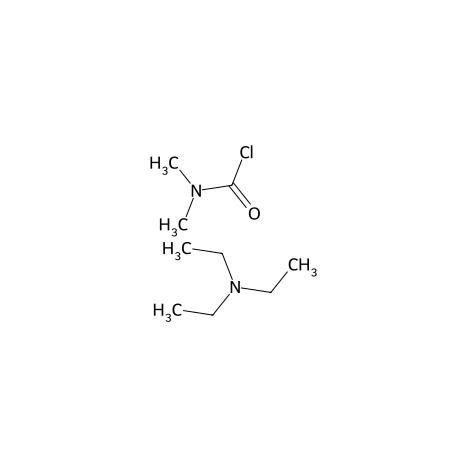 CCN(CC)CC.CN(C)C(=O)Cl